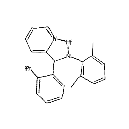 Cc1cccc(C)c1[N]1[Hf][n+]2ccccc2C1c1ccccc1C(C)C